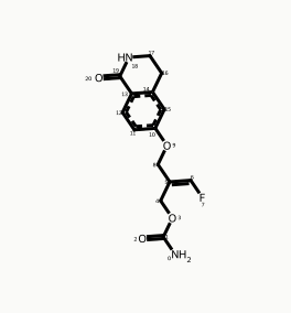 NC(=O)OCC(=CF)COc1ccc2c(c1)CCNC2=O